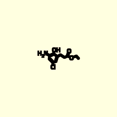 CCOC(=O)CCc1cc(Cl)cc(N)c1O